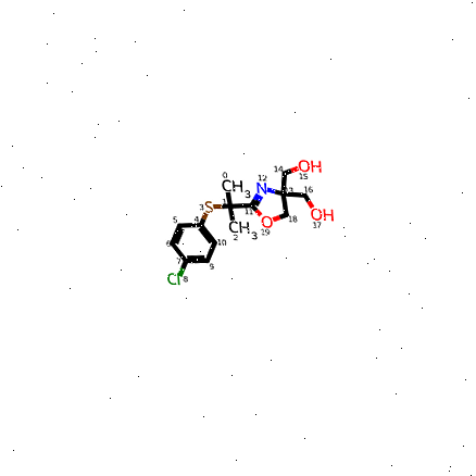 CC(C)(Sc1ccc(Cl)cc1)C1=NC(CO)(CO)CO1